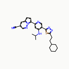 CC(C)Nc1cc(-c2ccc3cc(C#N)cnn23)ncc1-c1nnc(CCC2CCCCC2)s1